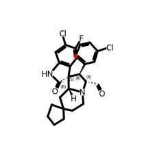 O=C[C@H]1[C@H](c2cccc(Cl)c2)[C@@]2(C(=O)Nc3cc(Cl)c(F)cc32)[C@H]2CC3(CCCC3)CCN12